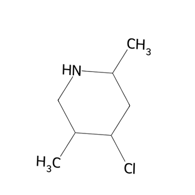 CC1CC(Cl)C(C)CN1